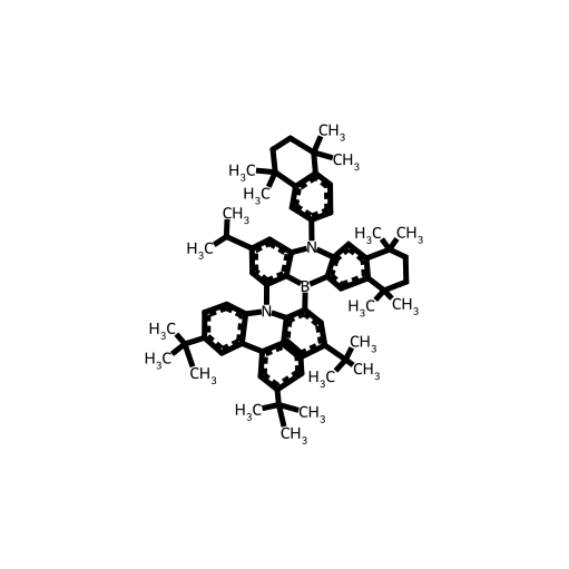 CC(C)c1cc2c3c(c1)N(c1ccc(C(C)(C)C)cc1-c1cccc(C(C)(C)C)c1)c1ccc(C(C)(C)C)cc1B3c1cc3c(cc1N2c1ccc2c(c1)C(C)(C)CCC2(C)C)C(C)(C)CCC3(C)C